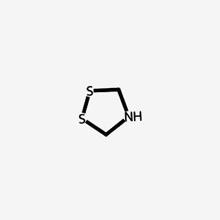 C1NCSS1